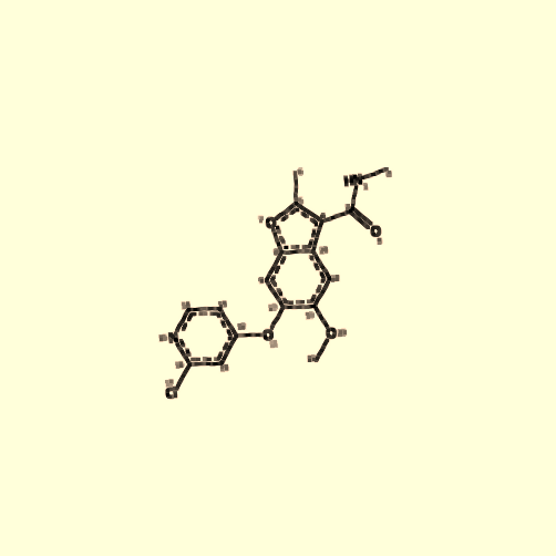 CNC(=O)c1c(C)oc2cc(Oc3ccnc(Cl)c3)c(OC)cc12